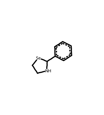 c1ccc(C2NCC[Se]2)cc1